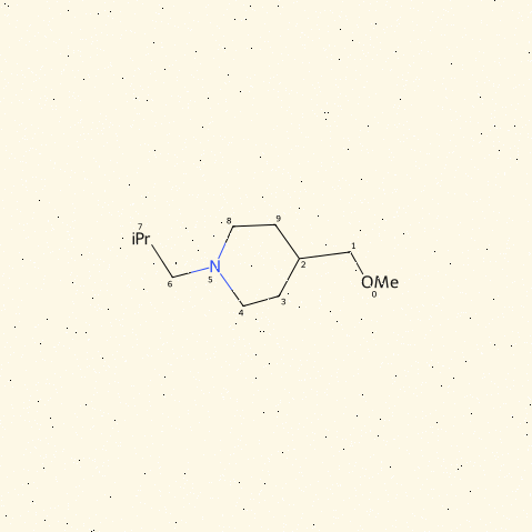 COCC1CCN(CC(C)C)CC1